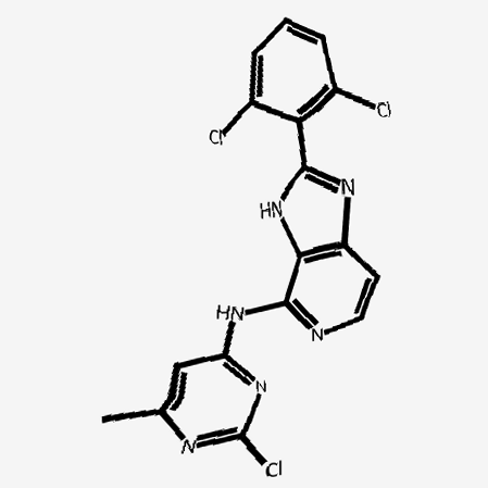 Cc1cc(Nc2nccc3nc(-c4c(Cl)cccc4Cl)[nH]c23)nc(Cl)n1